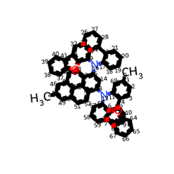 Cc1ccc(-c2ccccc2)c(N(c2cc(N(c3ccccc3-c3ccccc3)c3cccc4c3oc3ccccc34)c3ccc4cc(C)cc5ccc2c3c45)c2cccc3c2oc2ccccc23)c1